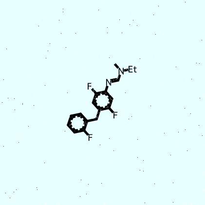 CCN(C)C=Nc1cc(F)c(Cc2ccccc2F)cc1F